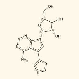 Nc1ncnc2c1c(-c1ccsc1)cn2[C@@H]1O[C@H](CO)C(O)[C@@H]1O